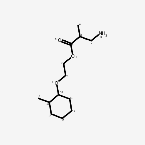 CC(CN)C(=O)OCCOC1CCCCC1C